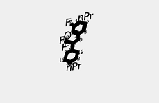 CCCc1ccc2c(c1F)OC(F)(F)C(C1CCC(CCC)CC1)C2